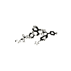 O=C(C[C@@H](c1ccc(F)cc1)c1ccc(C(F)(F)F)nc1)Nc1cncc(F)c1CC[C@@H]1CN[C@H](COC(=O)NCC(F)(F)F)CO1